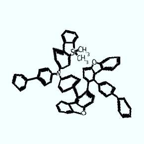 C[Si]1(C)c2ccccc2-c2ccc(N(c3ccc(-c4ccccc4)cc3)c3ccc(-c4c(-c5ccc6oc7ccccc7c6c5-c5ccc(-c6ccccc6)cc5)ccc5oc6ccccc6c45)cc3)cc21